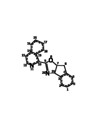 c1ccc2c(c1)CC1OC(c3nccc4ccccc34)=NC21